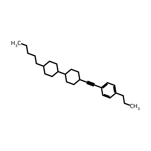 CCCCCC1CCC(C2CCC(C#Cc3ccc(CCC)cc3)CC2)CC1